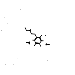 CCC(=O)CCc1c(C)c(OC(C)=O)c(C)c(C)c1OC(C)=O